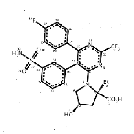 CC[C@@]1(C(=O)O)C[C@@H](O)CN1c1nc(C(F)(F)F)nc(-c2ccc(F)cc2)c1-c1cccc(S(N)(=O)=O)c1